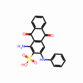 Nc1c2c(cc(Nc3ccccc3)c1S(=O)(=O)O)C(=O)c1ccccc1C2=O